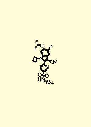 CC(C)(C)NS(=O)(=O)c1ccc(-c2c(C#N)c3cc(F)c(OC(F)F)cc3n2C2CCC2)nc1